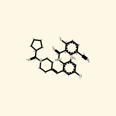 Cc1cc(Cl)cc(C=C2CCN(C(=O)C3CCCC3)CC2)c1NC(=O)c1cc(C#N)ccc1F